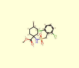 COC(=O)C1(NS(=O)(=O)Cc2c(Cl)cccc2Cl)CCC(C)CC1